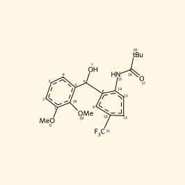 COc1cccc(C(O)c2cc(C(F)(F)F)ccc2NC(=O)C(C)(C)C)c1OC